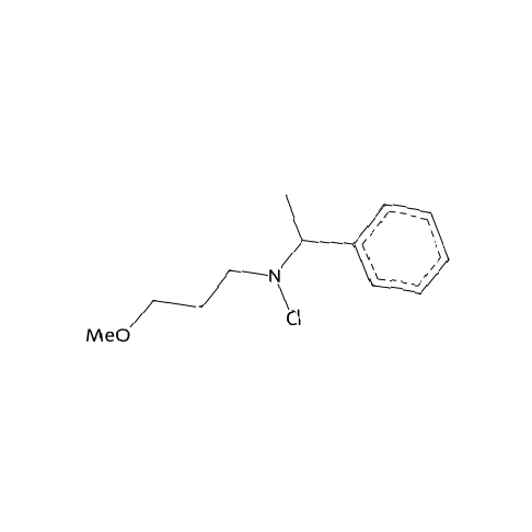 COCCCN(Cl)C(C)c1ccccc1